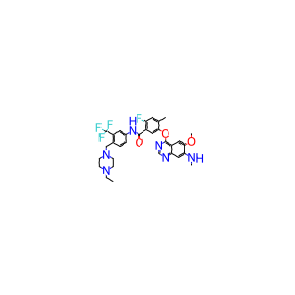 CCN1CCN(Cc2ccc(NC(=O)c3cc(Oc4ncnc5cc(NC)c(OC)cc45)c(C)cc3F)cc2C(F)(F)F)CC1